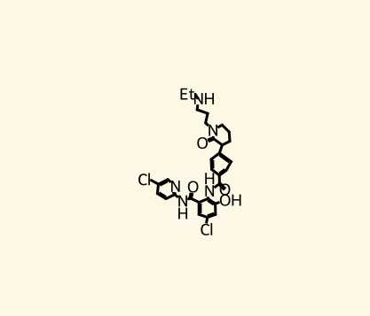 CCNCCCN1CCCC(c2ccc(C(=O)Nc3c(O)cc(Cl)cc3C(=O)Nc3ccc(Cl)cn3)cc2)C1=O